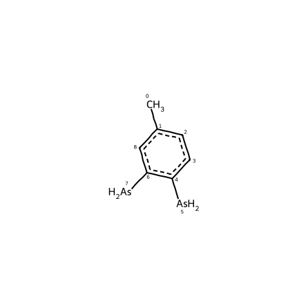 Cc1ccc([AsH2])c([AsH2])c1